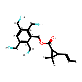 CC=CC1C(C(=O)OCc2c(CF)c(CF)cc(CF)c2CF)C1(C)C